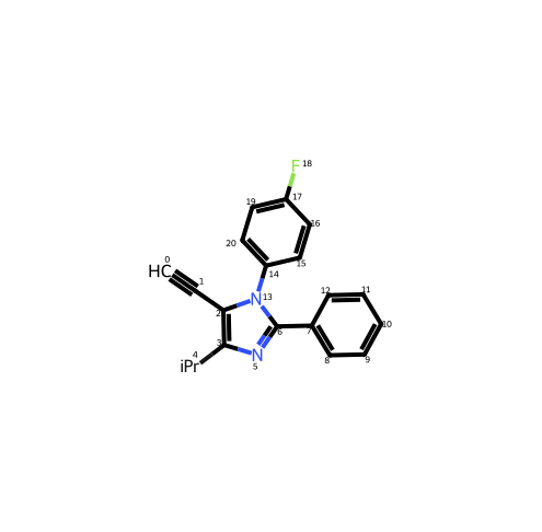 C#Cc1c(C(C)C)nc(-c2ccccc2)n1-c1ccc(F)cc1